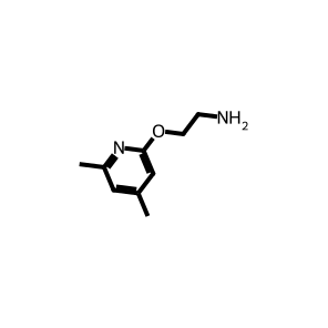 Cc1cc(C)nc(OCCN)c1